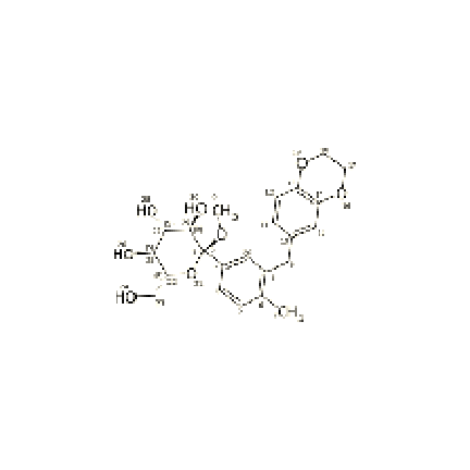 CO[C@@]1(c2ccc(C)c(Cc3ccc4c(c3)OCCO4)c2)O[C@H](CO)[C@@H](O)[C@H](O)[C@H]1O